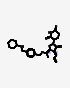 C=C/C=C1/C(=O)N(C2CCC(=O)NC2=O)C/C1=C(/C)OCc1ccc(CNC2CCCCC2)cc1